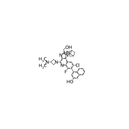 CN(C)C1CN(c2nc3c(F)c(-c4cc(O)cc5ccccc45)c(Cl)cc3c3c2nc(CO)n3C2C3CNC2C3)C1